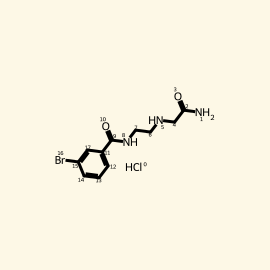 Cl.NC(=O)CNCCNC(=O)c1cccc(Br)c1